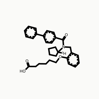 [2H]C1(N(Cc2ccccc2OCCCCCC(=O)O)C(=O)c2ccc(-c3ccccc3)cc2)CCCC1